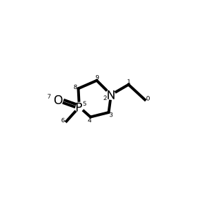 CCN1CCP(C)(=O)CC1